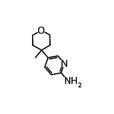 CC1(c2ccc(N)nc2)CCOCC1